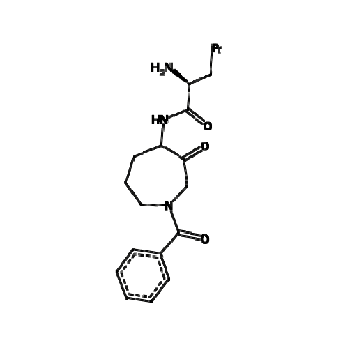 CC(C)C[C@H](N)C(=O)NC1CCCN(C(=O)c2ccccc2)CC1=O